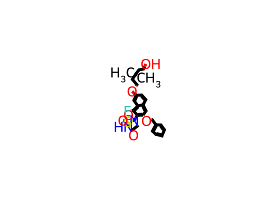 CC(C)(CCO)CCOc1ccc2cc(OCc3ccccc3)c(N3CC(=O)NS3(=O)=O)c(F)c2c1